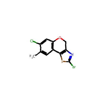 FC(F)(F)c1cc2c(cc1Cl)OCc1nc(Br)sc1-2